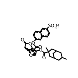 CC1CC2CC(C1)CC(C)(C(=O)Oc1c3c4oc1c(C(=O)Oc1ccc5cc(S(=O)(=O)O)ccc5c1)c4C(=O)O3)C2